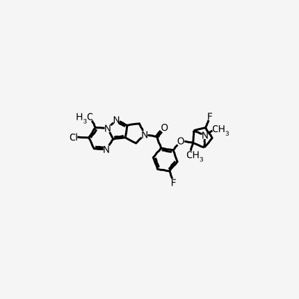 Cc1c(Cl)cnc2c3c(nn12)CN(C(=O)c1ccc(F)cc1OC1(C)C2CC(F)C1N2C)C3